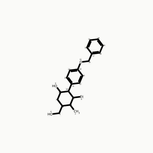 CCC1C(C)C(CO)CC(O)C1c1ccc(OCc2ccccc2)cc1